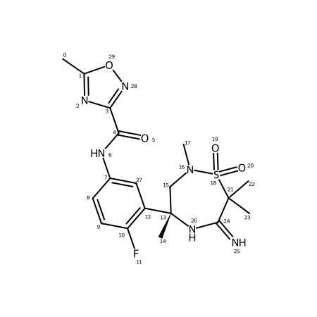 Cc1nc(C(=O)Nc2ccc(F)c([C@]3(C)CN(C)S(=O)(=O)C(C)(C)C(=N)N3)c2)no1